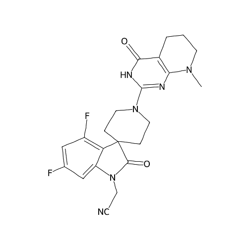 CN1CCCc2c1nc(N1CCC3(CC1)C(=O)N(CC#N)c1cc(F)cc(F)c13)[nH]c2=O